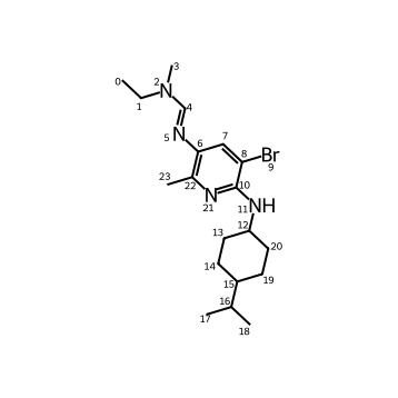 CCN(C)/C=N/c1cc(Br)c(NC2CCC(C(C)C)CC2)nc1C